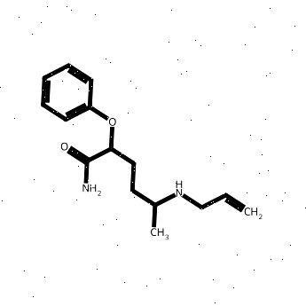 C=CCNC(C)CCC(Oc1ccccc1)C(N)=O